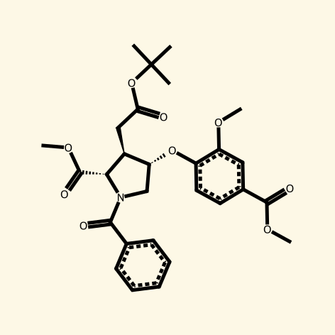 COC(=O)c1ccc(O[C@@H]2CN(C(=O)c3ccccc3)[C@H](C(=O)OC)[C@H]2CC(=O)OC(C)(C)C)c(OC)c1